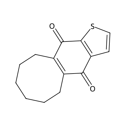 O=C1C2=C(CCCCCC2)C(=O)c2sccc21